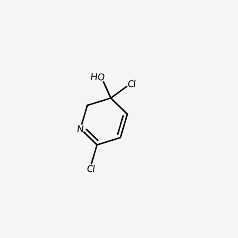 OC1(Cl)C=CC(Cl)=NC1